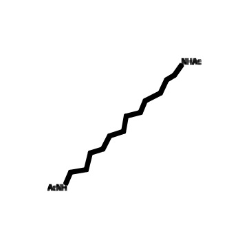 CC(=O)NCCCCCCCCCCCCNC(C)=O